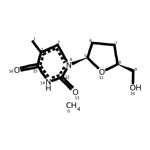 C.Cc1cn([C@H]2CC[C@@H](CO)O2)c(=O)[nH]c1=O